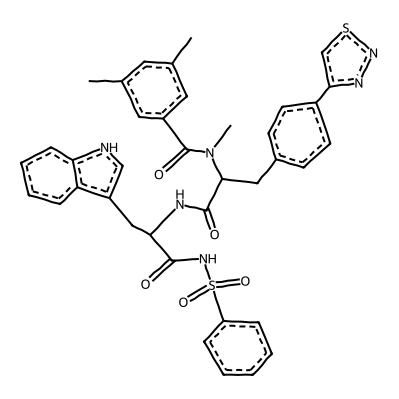 Cc1cc(C)cc(C(=O)N(C)C(Cc2ccc(-c3csnn3)cc2)C(=O)NC(Cc2c[nH]c3ccccc23)C(=O)NS(=O)(=O)c2ccccc2)c1